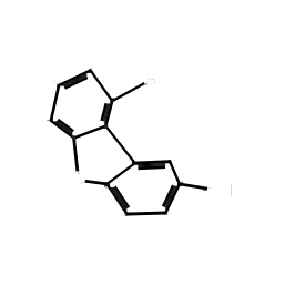 Cc1ccc2sc3cccc(Br)c3c2c1